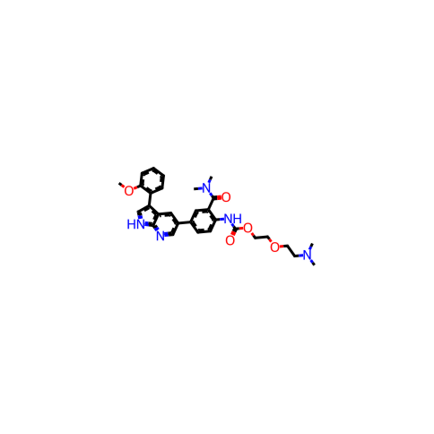 COc1ccccc1-c1c[nH]c2ncc(-c3ccc(NC(=O)OCCOCCN(C)C)c(C(=O)N(C)C)c3)cc12